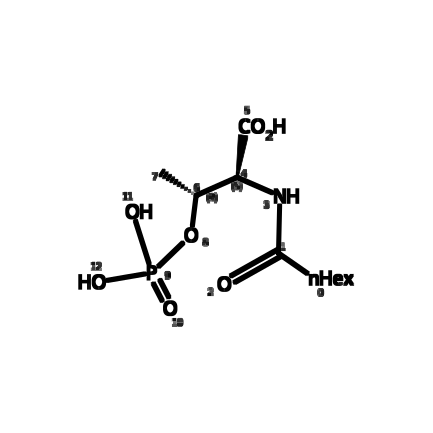 CCCCCCC(=O)N[C@H](C(=O)O)[C@@H](C)OP(=O)(O)O